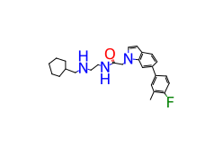 Cc1cc(-c2ccc3ccn(CC(=O)NCCNCC4CCCCC4)c3c2)ccc1F